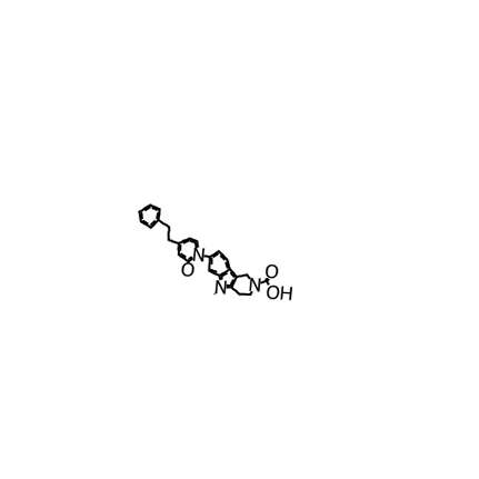 Cn1c2c(c3ccc(-n4ccc(CCc5ccccc5)cc4=O)cc31)CN(C(=O)O)CC2